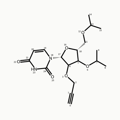 C#CCOC1C(OC(C)C)[C@@H](COC(C)C)O[C@H]1n1ccc(=O)[nH]c1=O